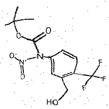 CC(C)(C)OC(=O)N(c1ccc(C(F)(F)F)c(CO)c1)[N+](=O)[O-]